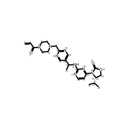 C=CC(=O)N1CCN(Cc2ncc(C(C)Nc3nccc(N4C(=O)OC[C@@H]4C(C)C)n3)cn2)CC1